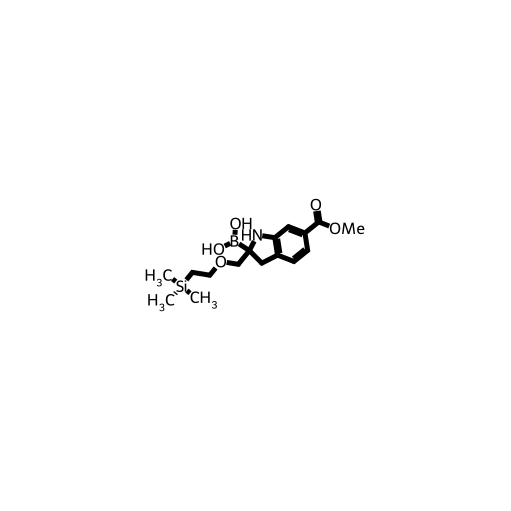 COC(=O)c1ccc2c(c1)NC(COCC[Si](C)(C)C)(B(O)O)C2